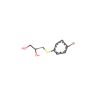 OCC(O)CSc1ccc(Br)cc1